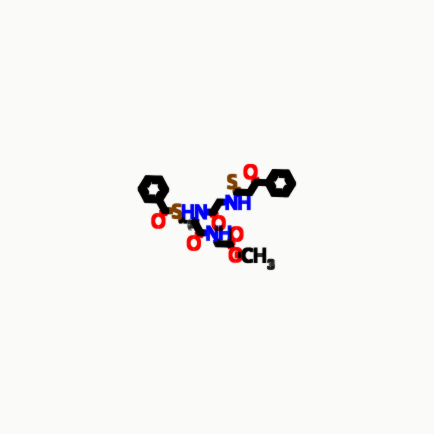 COC(=O)CNC(=O)[C@H](CSC(=O)c1ccccc1)NC(=O)CNC(=S)CC(=O)c1ccccc1